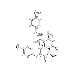 CCC[C@H]1C(=O)N(Cc2ccc(C)cc2)C[C@H]2N1C(=O)CN(C)N2C(=O)NCc1ccc(OC)cc1